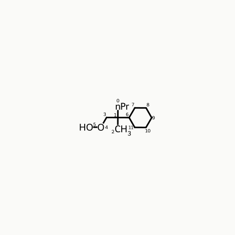 CCCC(C)(COO)C1CCCCC1